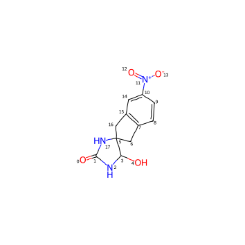 O=C1NC(O)C2(Cc3ccc([N+](=O)[O-])cc3C2)N1